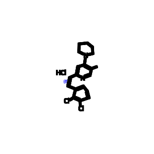 Cc1cnc(/C=C\c2cccc(Cl)c2Cl)cc1N1CCCCC1.Cl